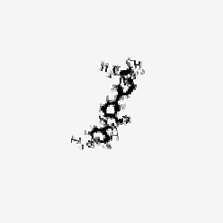 Cc1nc2ccc(-c3ccc4nc(C5CCN(C)CC5)[nH]c(=O)c4c3)cn2c1C